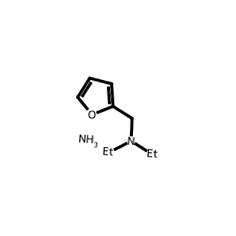 CCN(CC)Cc1ccco1.N